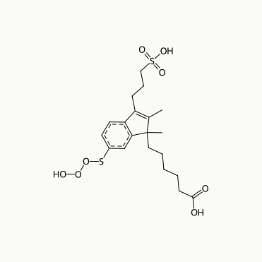 CC1=C(CCCS(=O)(=O)O)c2ccc(SOOO)cc2C1(C)CCCCCC(=O)O